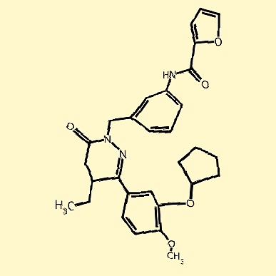 CCC1CC(=O)N(Cc2cccc(NC(=O)c3ccco3)c2)N=C1c1ccc(OC)c(OC2CCCC2)c1